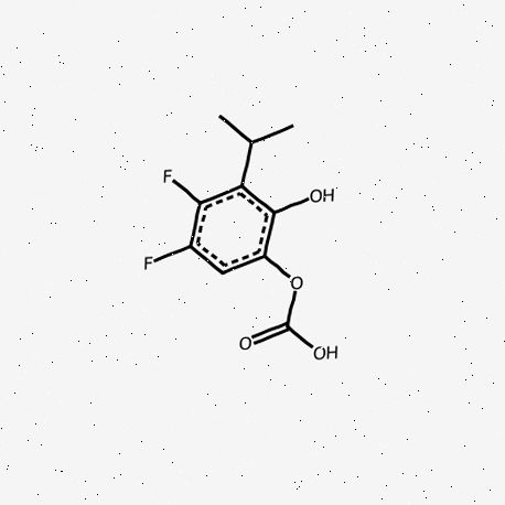 CC(C)c1c(O)c(OC(=O)O)cc(F)c1F